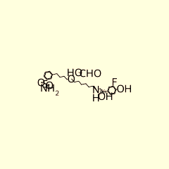 NS(=O)(=O)c1cccc(CCCCOCCCCCCNC[C@H](O)c2ccc(O)c(F)c2)c1.O=CO